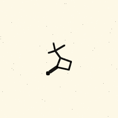 CC(C)(C)C1CCC1=O